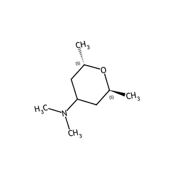 C[C@H]1CC(N(C)C)C[C@H](C)O1